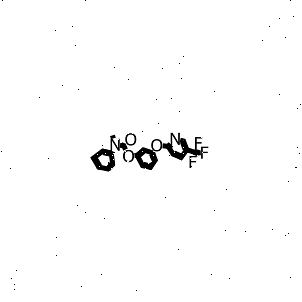 CN(C(=O)Oc1cccc(Oc2ccc(C(F)(F)F)cn2)c1)c1ccccc1